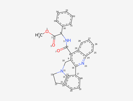 COC(=O)C(NC(=O)c1c(CN2CCCC2)c(-c2ccccc2)nc2ccccc12)c1ccccc1